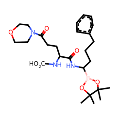 CC1(C)OB(C(CCCc2ccccc2)NC(=O)C(CCC(=O)N2CCOCC2)NC(=O)O)OC1(C)C